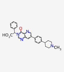 CN1CCC(c2ccc(-c3cnc4c(=O)n(C(C(=O)O)c5ccccc5)cnc4c3)cc2)CC1